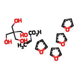 C=CC(=O)O.OCC(CO)(CO)CO.c1ccoc1.c1ccoc1.c1ccoc1.c1ccoc1